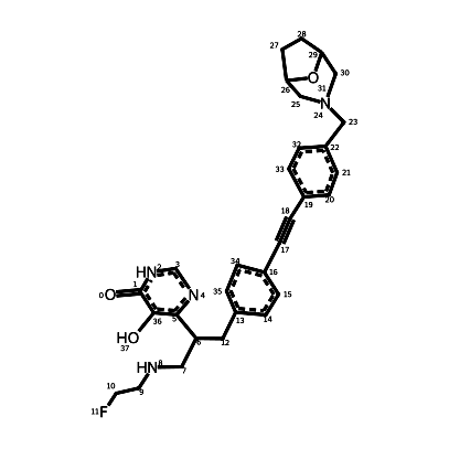 O=c1[nH]cnc(C(CNCCF)Cc2ccc(C#Cc3ccc(CN4CC5CCC(C4)O5)cc3)cc2)c1O